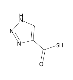 O=C(S)c1c[nH]nn1